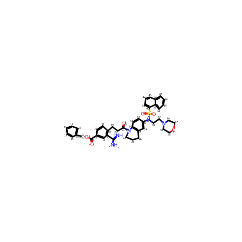 N=C(N)c1cc(C(=O)OCc2ccccc2)ccc1CCC(=O)N1CCCc2cc(N(CCN3CCOCC3)S(=O)(=O)c3cccc4ccccc34)ccc21